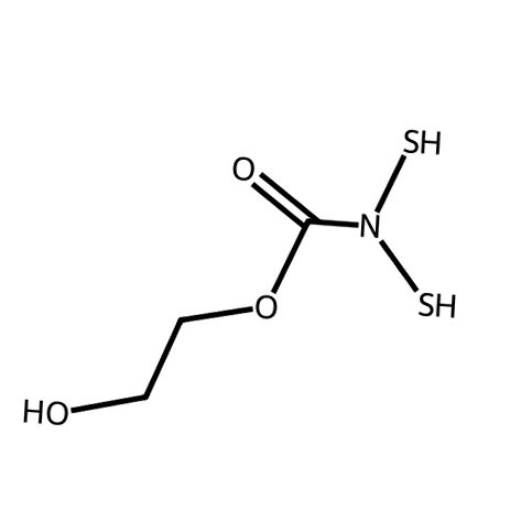 O=C(OCCO)N(S)S